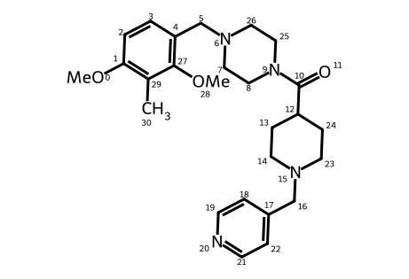 COc1ccc(CN2CCN(C(=O)C3CCN(Cc4ccncc4)CC3)CC2)c(OC)c1C